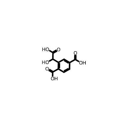 O=C(O)c1ccc(C(=O)O)c(C(O)C(=O)O)c1